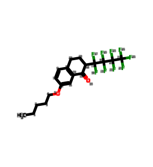 CCCCCOc1ccc2c(c1)C(=O)C(C(F)(F)C(F)(F)C(F)(F)C(F)(F)F)CC2